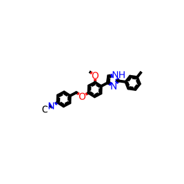 [C-]#[N+]c1ccc(COc2ccc(-c3c[nH]c(-c4cccc(C)c4)n3)c(OC)c2)cc1